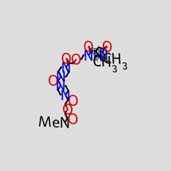 CNC(=O)COCC(=O)N1CCN(C(=O)N2CCN(C(=O)COCCNC(=O)[C@H]3CC(=O)N(C)[C@@H]3C)CC2)CC1